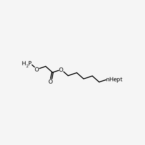 CCCCCCCCCCCCOC(=O)COP